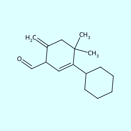 C=C1CC(C)(C)C(C2CCCCC2)=CC1C=O